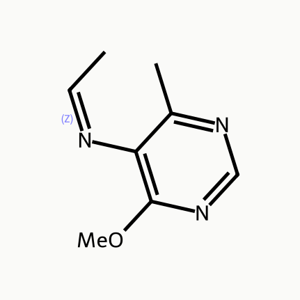 C/C=N\c1c(C)ncnc1OC